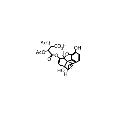 CC(=O)O[C@H](C(=O)O)[C@H](OC(C)=O)C(=O)OC1=CC[C@@]2(O)[C@@H]3CCC[C@@]24c2c(ccc(O)c2O[C@@H]14)C3